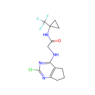 O=C(CNc1nc(Cl)nc2c1CCC2)NC1(C(F)(F)F)CC1